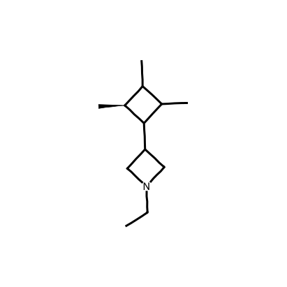 CCN1CC(C2C(C)C(C)[C@@H]2C)C1